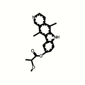 COC(C)C(=O)Oc1ccc2[nH]c3c(C)c4ccncc4c(C)c3c2c1